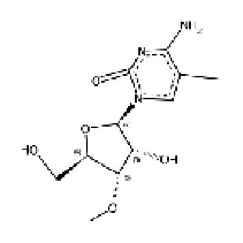 CO[C@H]1[C@@H](O)[C@H](n2cc(C)c(N)nc2=O)O[C@@H]1CO